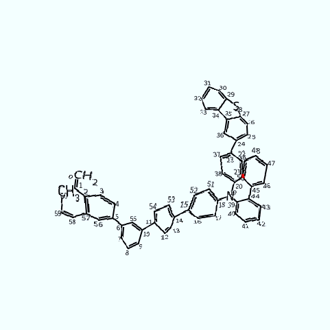 C=Cc1ccc(-c2cccc(-c3ccc(-c4ccc(N(c5ccc(-c6ccc7sc8ccccc8c7c6)cc5)c5ccccc5-c5ccccc5)cc4)cc3)c2)cc1/C=C\C